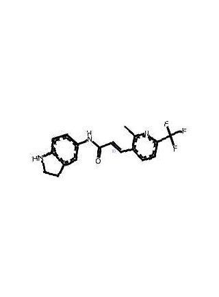 Cc1nc(C(F)(F)F)ccc1/C=C/C(=O)Nc1ccc2c(c1)CCN2